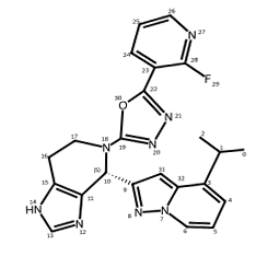 CC(C)c1cccn2nc([C@@H]3c4nc[nH]c4CCN3c3nnc(-c4cccnc4F)o3)cc12